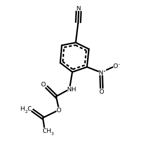 C=C(C)OC(=O)Nc1ccc(C#N)cc1[N+](=O)[O-]